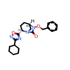 O=C1N2C[C@@H](CC[C@H]2c2nc(C3CCCCC3)no2)N1OCc1ccccc1